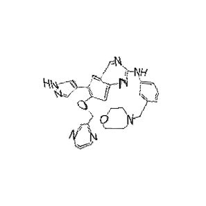 c1cc(CN2CCOCC2)cc(Nc2ncc3cc(-c4cn[nH]c4)c(OCc4cnccn4)cc3n2)c1